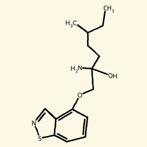 CCC(C)CCC(N)(O)COc1cccc2sncc12